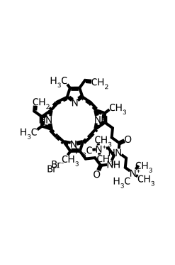 C=CC1=C(C)c2cc3[nH]c(cc4nc(cc5[nH]c(cc1n2)c(C)c5CCC(=O)NCC[N+](C)(C)C)C(CCC(=O)NCC[N+](C)(C)C)=C4C)c(C)c3C=C.[Br-].[Br-]